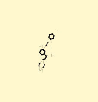 CCCc1ccc(OCC(=O)Nc2ccc3nc(N4CCN(C)CC4)cc(C)c3c2)cc1